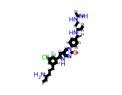 C=C[C@@H](N)CCCc1cc(Cl)c(F)c(-c2cc3cn(-c4ccc([C@H](C)N[C@@H](C=C)CCNC(C)=N)cc4)c(=O)nc3[nH]2)c1